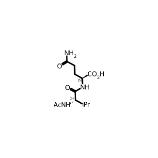 CC(=O)N[C@H](C(=O)N[C@@H](CCC(N)=O)C(=O)O)C(C)C